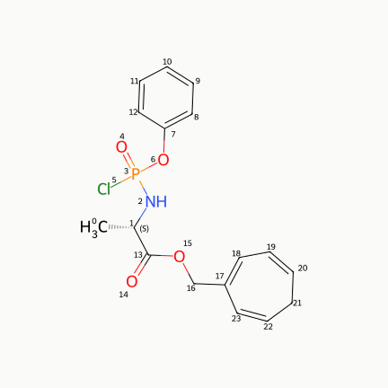 C[C@H](NP(=O)(Cl)Oc1ccccc1)C(=O)OCC1=CC=CCC=C1